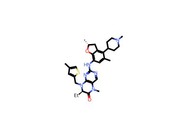 CC[C@@H]1C(=O)N(C)c2cnc(Nc3cc(C)c(C4CCN(C)CC4)c4c3O[C@H](C)C4)nc2N1Cc1cc(C)cs1